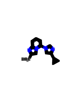 CCOC(=O)c1cn2c(-n3cnc(C4CC4)c3)cccc2n1